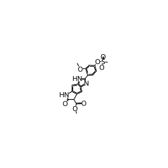 COC(=O)C1C(=O)Nc2cc3[nH]c(-c4ccc(OS(C)(=O)=O)cc4OC)nc3cc21